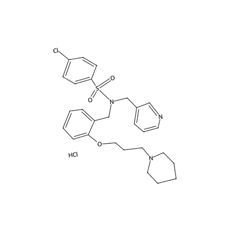 Cl.O=S(=O)(c1ccc(Cl)cc1)N(Cc1cccnc1)Cc1ccccc1OCCCN1CCCCC1